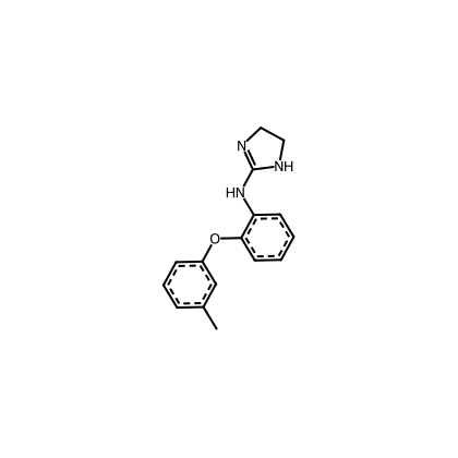 Cc1cccc(Oc2ccccc2NC2=NCCN2)c1